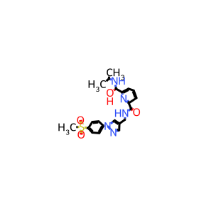 CC(C)NC(O)c1cccc(C(=O)NCc2cnn(-c3ccc(S(C)(=O)=O)cc3)c2)n1